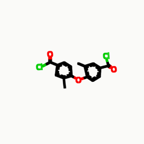 Cc1cc(C(=O)Cl)ccc1Oc1ccc(C(=O)Cl)cc1C